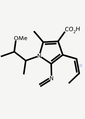 C=Nc1c(/C=C\C)c(C(=O)O)c(C)n1C(C)C(C)OC